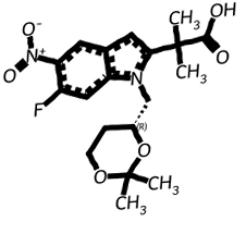 CC1(C)OCC[C@H](Cn2c(C(C)(C)C(=O)O)cc3cc([N+](=O)[O-])c(F)cc32)O1